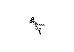 C=COCCCNC(=O)CCC(NC(=O)OCC1c2ccccc2-c2ccccc21)C(=O)NCCCOC=C